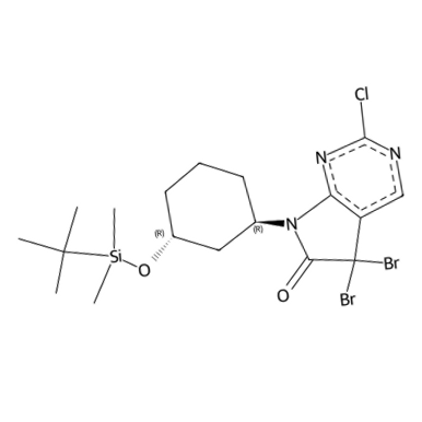 CC(C)(C)[Si](C)(C)O[C@@H]1CCC[C@@H](N2C(=O)C(Br)(Br)c3cnc(Cl)nc32)C1